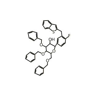 OC1C(c2ccc(F)c(Cc3cc4ccccc4s3)c2)OC(COCc2ccccc2)C(OCc2ccccc2)C1OCc1ccccc1